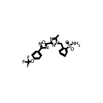 Cc1nc(-c2nc(-c3ccc(OC(F)(F)F)cc3)no2)nn1Cc1ccccc1S(N)(=O)=O